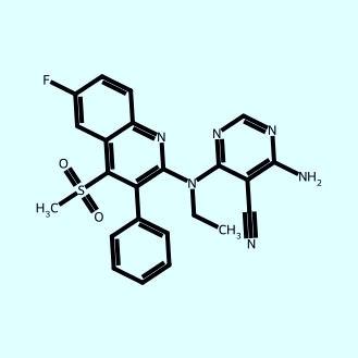 CCN(c1ncnc(N)c1C#N)c1nc2ccc(F)cc2c(S(C)(=O)=O)c1-c1ccccc1